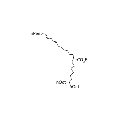 CCCCCC=CCC=CCCCCCCC(CCCCCCC(CCCCCCCC)CCCCCCCC)C(=O)OCC